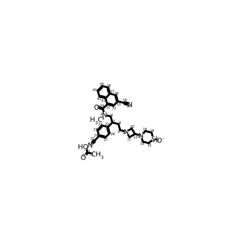 CC(=O)O.CN(CC(CCN1CC(N2CC[S+]([O-])CC2)C1)c1ccc(C#N)cc1)C(=O)c1cc(C#N)cc2ccccc12